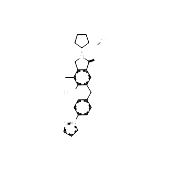 Cc1c(Cc2ccc(-n3cccn3)cc2)cc2c(c1Cl)CN([C@H]1CCC[C@@H]1CO)C2=O